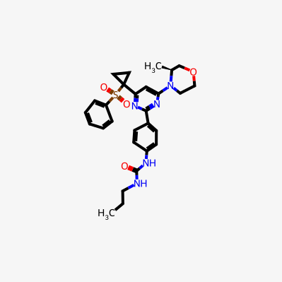 CCCNC(=O)Nc1ccc(-c2nc(N3CCOC[C@@H]3C)cc(C3(S(=O)(=O)c4ccccc4)CC3)n2)cc1